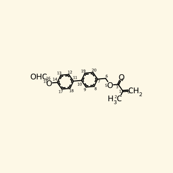 C=C(C)C(=O)OCc1ccc(-c2ccc(OC=O)cc2)cc1